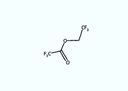 O=C(OCC(F)(F)F)C(F)(F)F